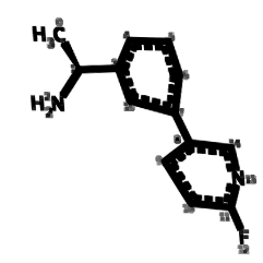 C[C@H](N)c1cccc(-c2ccc(F)nc2)c1